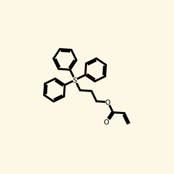 C=CC(=O)OCCCS(c1ccccc1)(c1ccccc1)c1ccccc1